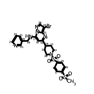 CS(=O)(=O)c1ccc(S(=O)(=O)N2CCC(c3cc(NCc4cccnc4)n4ncc(Br)c4n3)CC2)cc1